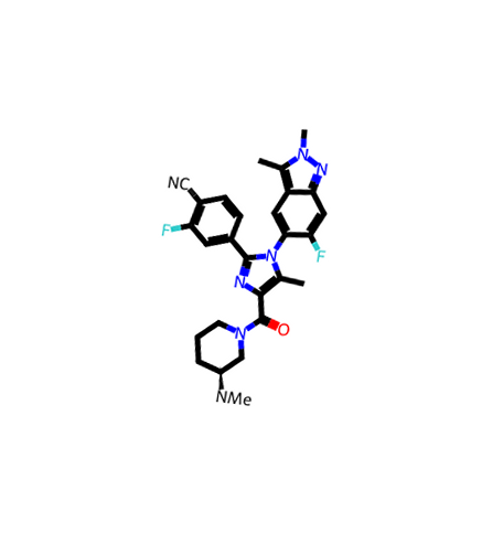 CN[C@H]1CCCN(C(=O)c2nc(-c3ccc(C#N)c(F)c3)n(-c3cc4c(C)n(C)nc4cc3F)c2C)C1